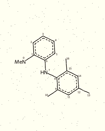 CNc1ccccc1Nc1c(C)cc(C)cc1C